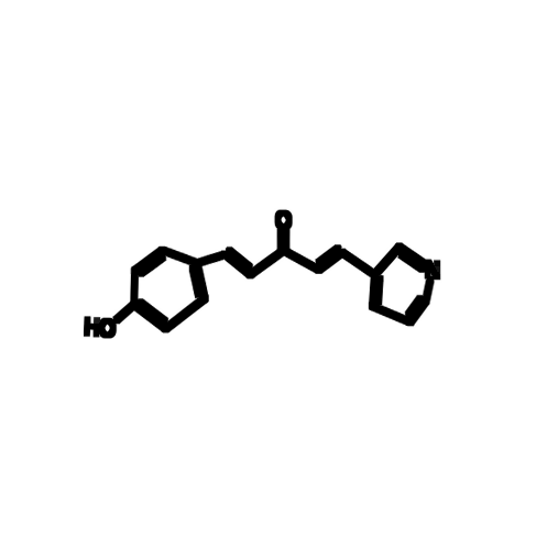 O=C(C=Cc1ccc(O)cc1)C=Cc1cccnc1